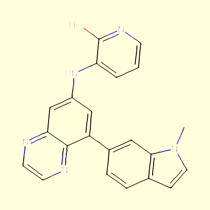 Cn1ccc2ccc(-c3cc(Nc4cccnc4O)cc4nccnc34)cc21